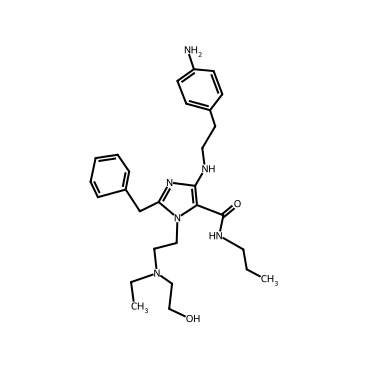 CCCNC(=O)c1c(NCCc2ccc(N)cc2)nc(Cc2ccccc2)n1CCN(CC)CCO